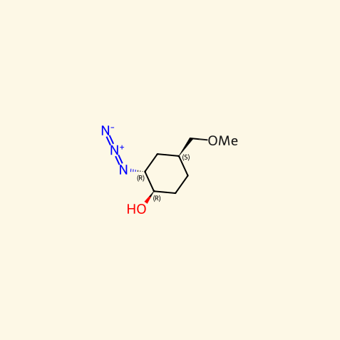 COC[C@H]1CC[C@@H](O)[C@H](N=[N+]=[N-])C1